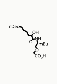 CCCCCCCCCCCCCCC(O)C(=O)N[C@H](CCCC)COCC(=O)O